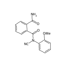 COc1ccccc1N(C#N)C(=O)c1ccccc1C(N)=O